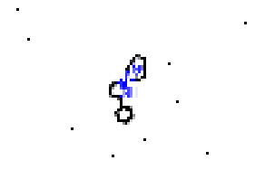 CN1C2CCC1CN(N1C=CC=C(c3ccccc3)N1)CC2